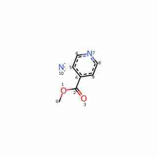 COC(=O)c1ccncc1.[N]